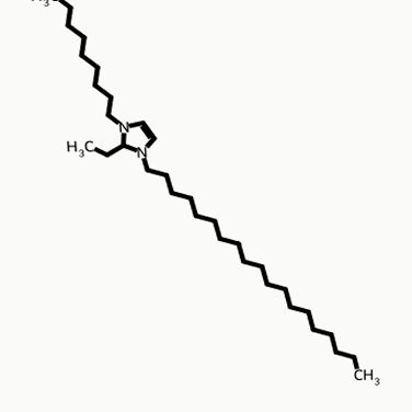 CCCCCCCCCCCCCCCCCCCN1C=CN(CCCCCCCCC)C1CC